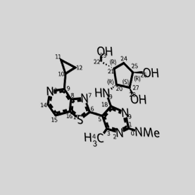 CNc1nc(C)c(-c2nc3c(C4CC4)nccc3s2)c(N[C@@H]2[C@H](CO)C[C@@H](O)[C@H]2O)n1